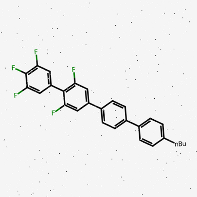 CCCCc1ccc(-c2ccc(-c3cc(F)c(-c4cc(F)c(F)c(F)c4)c(F)c3)cc2)cc1